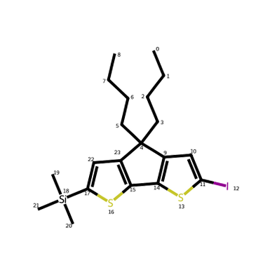 CCCCC1(CCCC)c2cc(I)sc2-c2sc([Si](C)(C)C)cc21